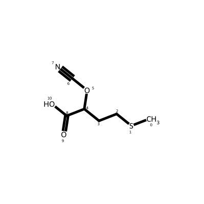 CSCCC(OC#N)C(=O)O